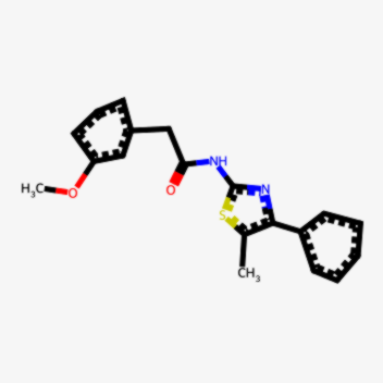 COc1cccc(CC(=O)Nc2nc(-c3ccccc3)c(C)s2)c1